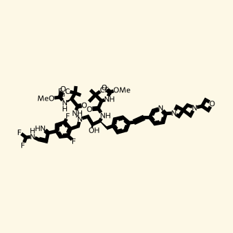 COC(=O)NC(C(=O)N[C@@H](Cc1ccc(C#Cc2ccc(N3CC4(C3)CN(C3COC3)C4)nc2)cc1)[C@@H](O)CN(Cc1c(F)cc(C(=N)/C=C\NC(F)F)cc1F)NC(=O)[C@@H](NC(=O)OC)C(C)(C)C(F)(F)F)C(C)(C)C(F)(F)F